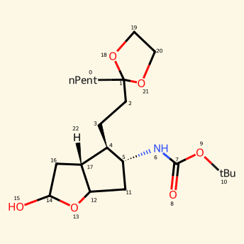 CCCCCC1(CC[C@H]2[C@H](NC(=O)OC(C)(C)C)CC3OC(O)C[C@@H]32)OCCO1